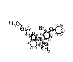 CCOC(=O)Cn1ncc2c1CCCC2N(C)S(=O)(=O)c1cnc(OC2CCOCC2)c(Br)c1